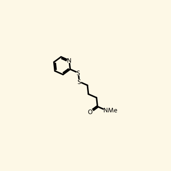 CNC(=O)CCCSSc1ccccn1